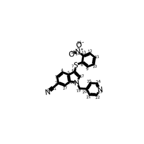 N#Cc1ccc2c(Sc3ccccc3[N+](=O)[O-])cn(Cc3ccncc3)c2c1